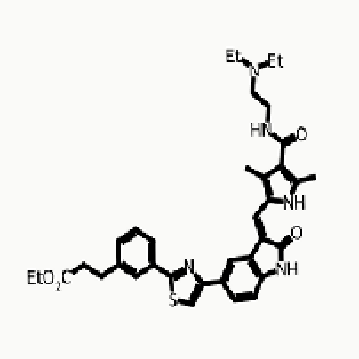 CCOC(=O)CCc1cccc(-c2nc(-c3ccc4c(c3)/C(=C/c3[nH]c(C)c(C(=O)NCCN(CC)CC)c3C)C(=O)N4)cs2)c1